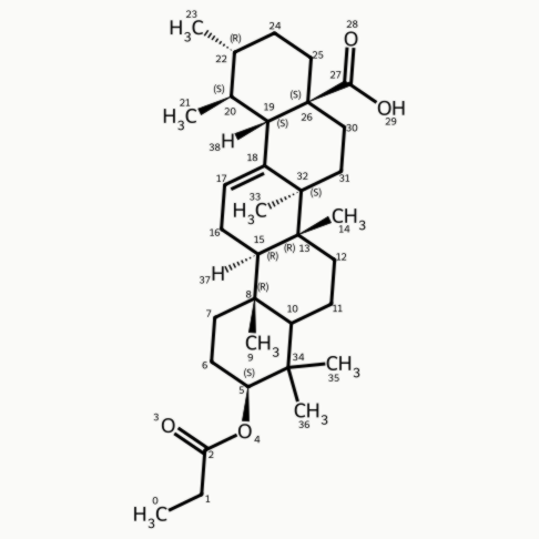 CCC(=O)O[C@H]1CC[C@@]2(C)C(CC[C@]3(C)[C@@H]2CC=C2[C@@H]4[C@@H](C)[C@H](C)CC[C@]4(C(=O)O)CC[C@]23C)C1(C)C